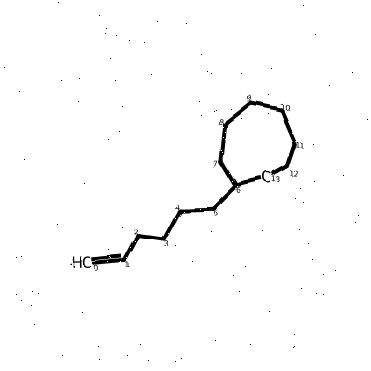 [CH]=CCCCCC1CCCCCCC1